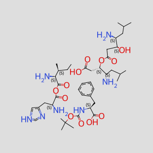 CC(C)(C)OC(=O)N[C@@H](Cc1ccccc1)C(=O)O.CC(C)C[C@H](N)[C@H](CC(=O)O)OC(=O)C[C@H](O)[C@@H](N)CC(C)C.CC[C@H](C)[C@H](N)C(=O)OC(=O)[C@@H](N)Cc1c[nH]cn1